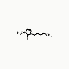 CCCCCN1C=CN(C)C1I